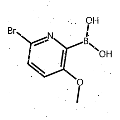 COc1ccc(Br)nc1B(O)O